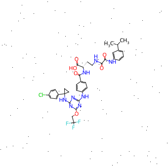 CC(C)c1cccc(NC(=O)C(=O)NCC[C@H](NC(=O)c2ccc(Nc3nc(NC4(c5ccc(Cl)cc5)CC4)nc(OCC(F)(F)F)n3)cc2)C(=O)O)c1